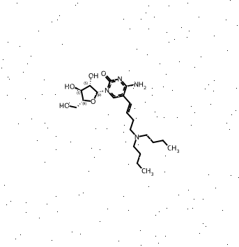 CCCCN(CCC=Cc1cn([C@@H]2O[C@H](CO)[C@@H](O)[C@@H]2O)c(=O)nc1N)CCCC